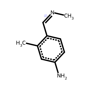 C/N=C\c1ccc(N)cc1C